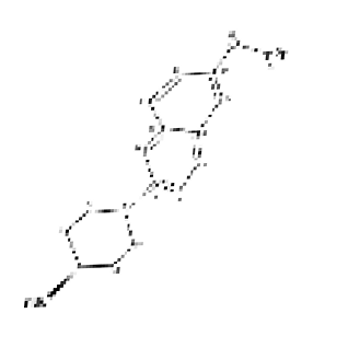 CCCC[C@H]1CC[C@H](c2ccc3cc(OCCC)ccc3c2)CC1